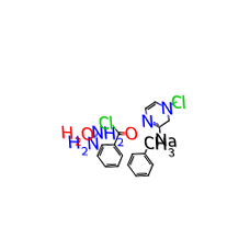 Cc1ccccc1.NN.O.O=C(Cl)c1ccccc1.[Na][C]1=NC=CN(Cl)C1